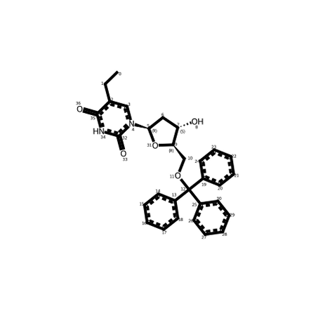 CCc1cn([C@H]2C[C@H](O)[C@@H](COC(c3ccccc3)(c3ccccc3)c3ccccc3)O2)c(=O)[nH]c1=O